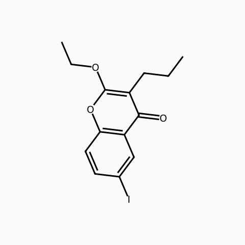 CCCc1c(OCC)oc2ccc(I)cc2c1=O